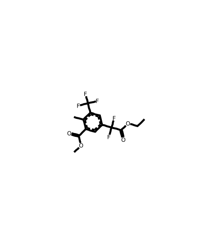 CCOC(=O)C(F)(F)c1cc(C(=O)OC)c(C)c(C(F)(F)F)c1